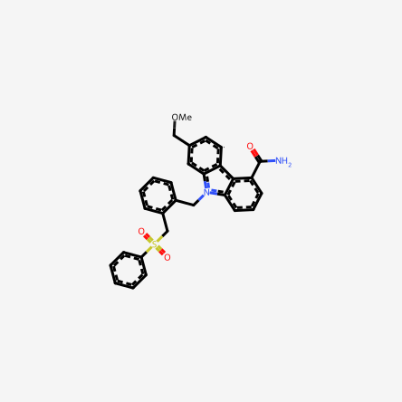 COCc1c[c]c2c3c(C(N)=O)cccc3n(Cc3ccccc3CS(=O)(=O)c3ccccc3)c2c1